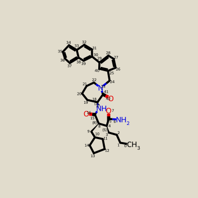 CCCC[C@H](C(N)=O)[C@@H](CC1CCCC1)C(=O)N[C@H]1CCCCN(Cc2cccc(-c3ccc4ccccc4c3)c2)C1=O